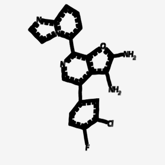 Nc1oc2c(-c3cccc4nccn34)ncc(-c3ccc(F)c(Cl)c3)c2c1N